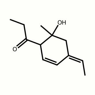 CC=C1C=CC(C(=O)CC)C(C)(O)C1